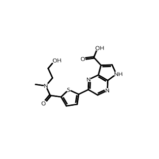 CN(CCO)C(=O)c1ccc(-c2cnc3[nH]cc(C(=O)O)c3n2)s1